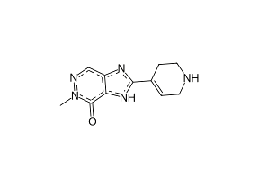 Cn1ncc2nc(C3=CCNCC3)[nH]c2c1=O